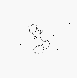 C1=C(c2nc3ccccc3o2)c2ccccc2CC1